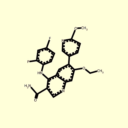 CCOc1cc2ncc(C(N)=O)c(Nc3ccc(F)cc3F)c2cc1-c1ccc(OC)nc1